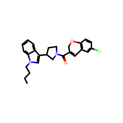 CCCCn1cc(C2CCN(C(=O)C3=Cc4cc(Cl)ccc4OC3)C2)c2ccccc21